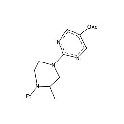 CCN1CCN(c2ncc(OC(C)=O)cn2)CC1C